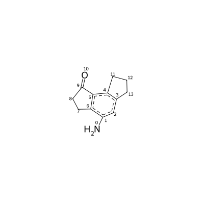 Nc1cc2c(c3c1CCC3=O)CCC2